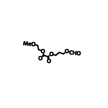 COCCOC(=O)C(=O)OCCCOC=O